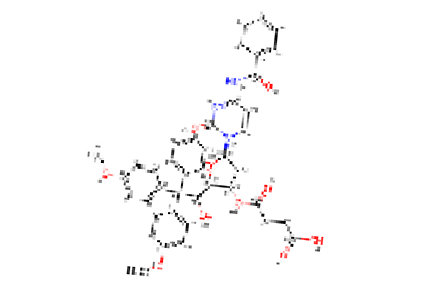 COc1ccc(C(c2ccccc2)(c2ccc(OC)cc2)C(O)[C@H]2O[C@@H](n3ccc(NC(=O)c4ccccc4)nc3=O)C[C@@H]2OC(=O)CCC(=O)O)cc1